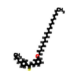 CCCCCCCCCCCCCCCCCCCCCOc1cccc(C=CC(=S)c2ccc(CCCC)cc2)c1